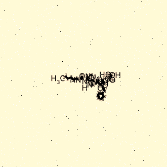 CCCCCCNC(=O)Nc1ncnc2c1ncn2[C@@H]1O[C@H](COP(=O)(O)O)[C@@H]2OC(Cc3ccccc3)OC21